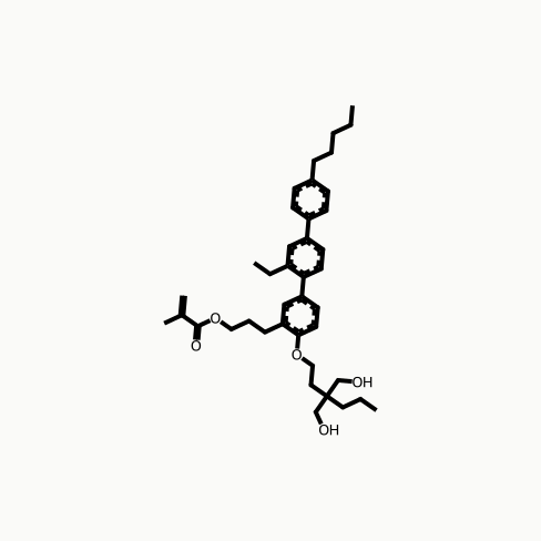 C=C(C)C(=O)OCCCc1cc(-c2ccc(-c3ccc(CCCCC)cc3)cc2CC)ccc1OCCC(CO)(CO)CCC